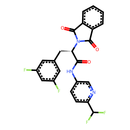 O=C(Nc1ccc(C(F)F)nc1)[C@H](Cc1cc(F)cc(F)c1)N1C(=O)c2ccccc2C1=O